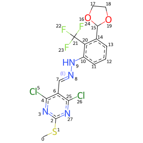 CSc1nc(Cl)c(/C=N/Nc2cccc(C3OCCO3)c2C(F)(F)F)c(Cl)n1